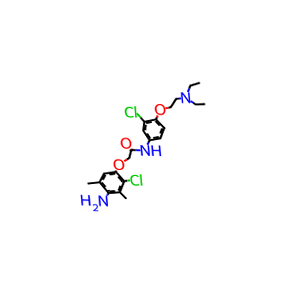 CCN(CC)CCOc1ccc(NC(=O)COc2cc(C)c(N)c(C)c2Cl)cc1Cl